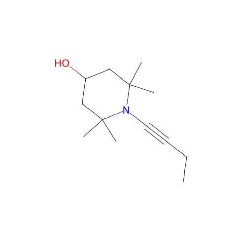 CCC#CN1C(C)(C)CC(O)CC1(C)C